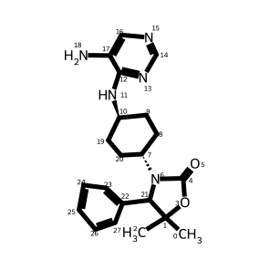 CC1(C)OC(=O)N([C@H]2CC[C@H](Nc3ncncc3N)CC2)C1c1ccccc1